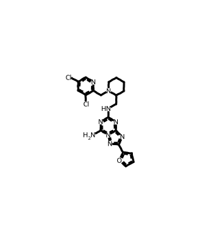 Nc1nc(NCC2CCCCN2Cc2ncc(Cl)cc2Cl)nc2nc(-c3ccco3)nn12